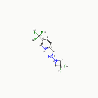 FC1(F)CN(NCc2ccc(C(F)(F)F)cn2)C1